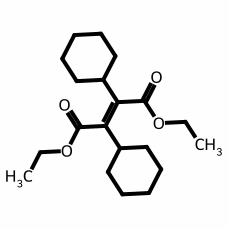 CCOC(=O)C(=C(C(=O)OCC)C1CCCCC1)C1CCCCC1